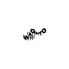 CN(CCOc1ccccc1NC(=O)Nc1cnccn1)Cc1ccccc1